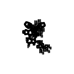 CN(C)C1[C@@H]2CC[C@H]1CN(c1nc(N3C4CCC3CN(C(=O)OC(C)(C)C)C4)c3c4c(c(-c5ncc(F)c6sc(NC(=O)OC(C)(C)C)c(C#N)c56)c(F)c3n1)COC4)C2